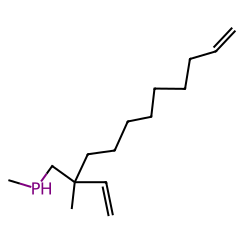 C=CCCCCCCCC(C)(C=C)CPC